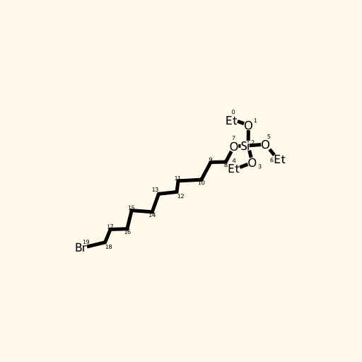 CCO[Si](OCC)(OCC)OCCCCCCCCCCCBr